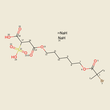 CC(C)(Br)C(=O)OCCCCCCOC(=O)CC(C(=O)O)S(=O)(=O)O.[NaH].[NaH]